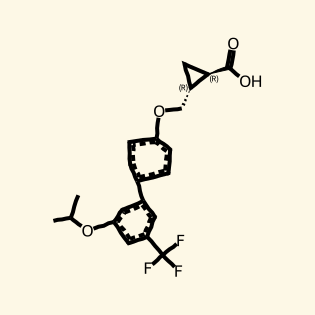 CC(C)Oc1cc(-c2ccc(OC[C@@H]3C[C@H]3C(=O)O)cc2)cc(C(F)(F)F)c1